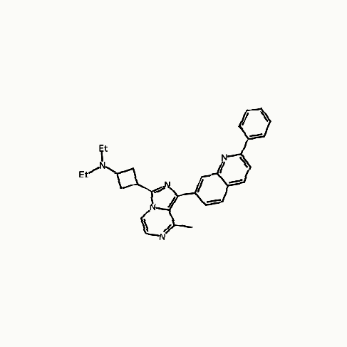 CCN(CC)C1CC(c2nc(-c3ccc4ccc(-c5ccccc5)nc4c3)c3c(C)nccn23)C1